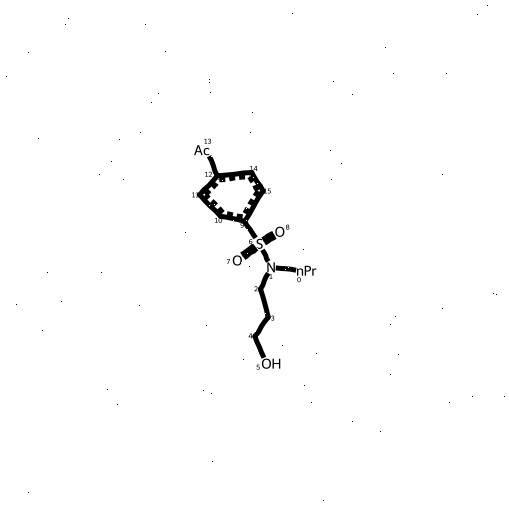 CCCN(CCCO)S(=O)(=O)c1ccc(C(C)=O)cc1